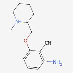 CN1CCCCC1COc1cccc(N)c1C#N